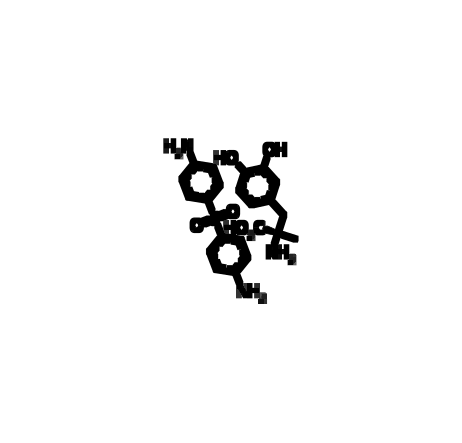 C[C@](N)(Cc1ccc(O)c(O)c1)C(=O)O.Nc1ccc(S(=O)(=O)c2ccc(N)cc2)cc1